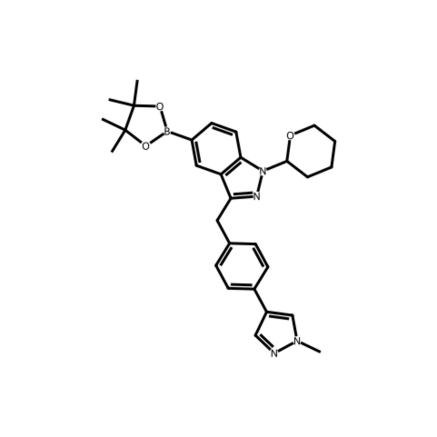 Cn1cc(-c2ccc(Cc3nn(C4CCCCO4)c4ccc(B5OC(C)(C)C(C)(C)O5)cc34)cc2)cn1